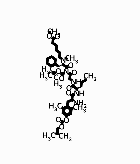 CCCC[C@@H](NC(=O)C(N)Cc1c(C)cc(OC(=O)OCC(C)C)cc1C)C(=O)NCC(=O)N(C(=O)OC(C)(C)C)C(=O)[C@H](CC1CCCCC1)N(C)CCCCCC(=O)OC